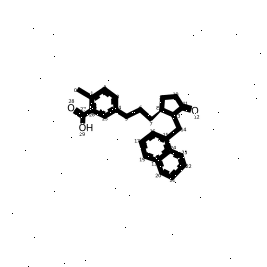 Cc1ccc(CCC[C@H]2CCC(=O)C2Cc2cccc3ccccc23)cc1C(=O)O